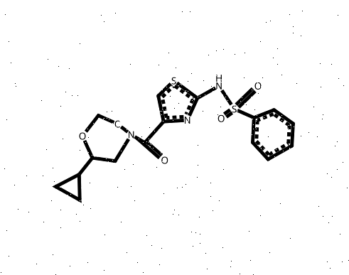 O=C(c1csc(NS(=O)(=O)c2ccccc2)n1)N1CCOC(C2CC2)C1